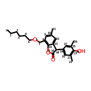 CCCCCCOCc1cc(C)cc2c1OC(=O)C2c1cc(C)c(O)c(C)c1